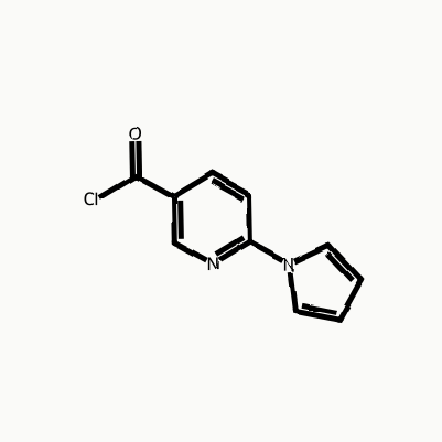 O=C(Cl)c1ccc(-n2cccc2)nc1